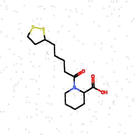 O=C(O)C1CCCCN1C(=O)CCCCC1CCSS1